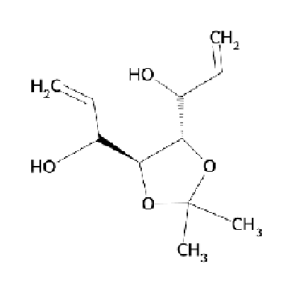 C=CC(O)[C@@H]1OC(C)(C)O[C@H]1C(O)C=C